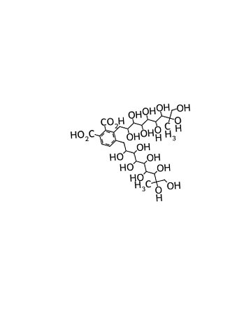 CC(O)(CO)C(O)C(O)C(O)C(O)C(O)C(O)Cc1ccc(C(=O)O)c(C(=O)O)c1CC(O)C(O)C(O)C(O)C(O)C(O)C(C)(O)CO